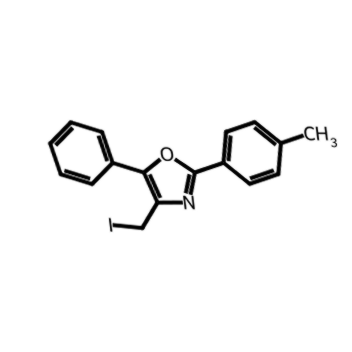 Cc1ccc(-c2nc(CI)c(-c3ccccc3)o2)cc1